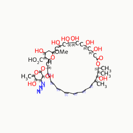 CO[C@]12C[C@@H](O)C[C@@H](O)[C@H](O)CC[C@@H](O)C[C@@H](O)CC(=O)O[C@@H](C)[C@H](C)[C@H](O)[C@@H](C)/C=C/C=C/C=C/C=C/C=C/C=C/C=C/[C@H](O[C@@H]3O[C@H](C)[C@@H](O)[C@H](N=[N+]=[N-])[C@H]3O)C[C@H](O1)[C@H](C(=O)O)[C@@H](O)C2